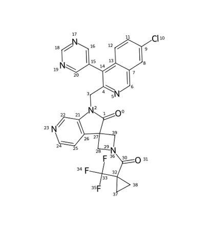 O=C1N(Cc2ncc3cc(Cl)ccc3c2-c2cncnc2)c2cnccc2C12CN(C(=O)C1(C(F)(F)F)CC1)C2